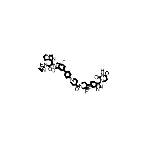 Cn1nc(N2CCC(=O)NC2=O)c2ccc(C3CCN(C(=O)C4CCN(c5ccc(-c6cc(F)c7c(c6)C(=O)N(C(C(=O)Nc6nccs6)c6ncn8c6CCC8)C7)cc5)CC4)CC3(F)F)cc21